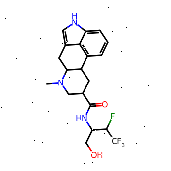 CN1CC(C(=O)NC(CO)C(F)C(F)(F)F)CC2c3cccc4[nH]cc(c34)CC21